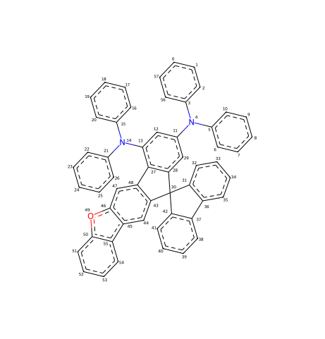 c1ccc(N(c2ccccc2)c2cc(N(c3ccccc3)c3ccccc3)c3c(c2)C2(c4ccccc4-c4ccccc42)c2cc4c(cc2-3)oc2ccccc24)cc1